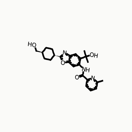 Cc1cccc(C(=O)Nc2cc3oc([C@H]4CC[C@H](CO)CC4)nc3cc2C(C)(C)O)n1